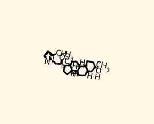 Cc1ccnn1CC(=O)[C@H]1CC[C@H]2[C@@H]3CC[C@H]4C[C@](C)(O)CC[C@@H]4[C@H]3CC[C@]12C